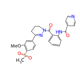 COc1cc(C2=NN(C(=O)c3ccccc3NC(=O)c3ccncc3)CCC2)ccc1S(C)(=O)=O